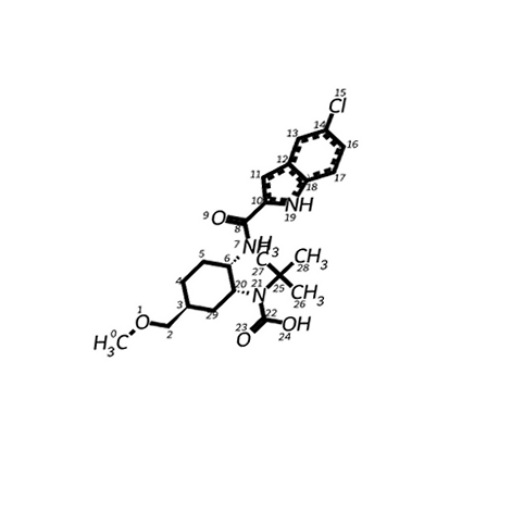 COC[C@H]1CC[C@H](NC(=O)c2cc3cc(Cl)ccc3[nH]2)[C@H](N(C(=O)O)C(C)(C)C)C1